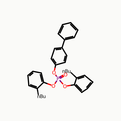 CCCCc1ccccc1OP(=O)(Oc1ccc(-c2ccccc2)cc1)Oc1ccccc1CCCC